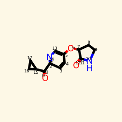 O=C(c1ccc(OC2CCNC2=O)cn1)C1CC1